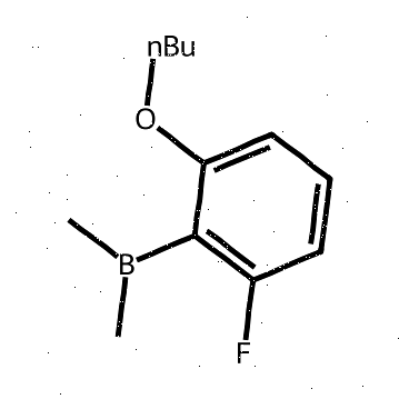 CCCCOc1cccc(F)c1B(C)C